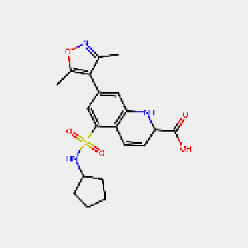 Cc1noc(C)c1-c1cc2c(c(S(=O)(=O)NC3CCCC3)c1)C=CC(C(=O)O)N2